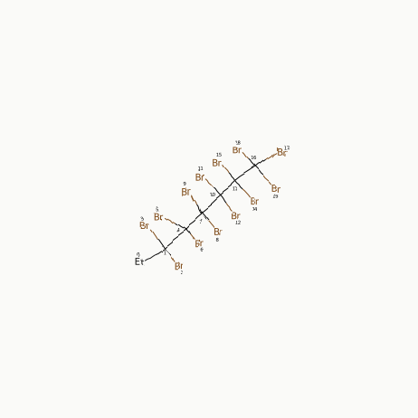 [CH2]CC(Br)(Br)C(Br)(Br)C(Br)(Br)C(Br)(Br)C(Br)(Br)C(Br)(Br)Br